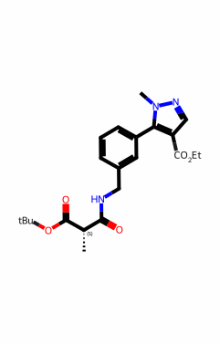 CCOC(=O)c1cnn(C)c1-c1cccc(CNC(=O)[C@H](C)C(=O)OC(C)(C)C)c1